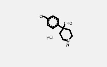 Cl.O=CC1(c2ccc(Cl)cc2)CCNCC1